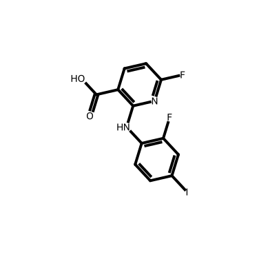 O=C(O)c1ccc(F)nc1Nc1ccc(I)cc1F